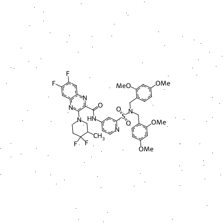 COc1ccc(CN(Cc2ccc(OC)cc2OC)S(=O)(=O)c2cc(NC(=O)c3nc4cc(F)c(F)cc4nc3N3CCC(F)(F)C(C)C3)ccn2)c(OC)c1